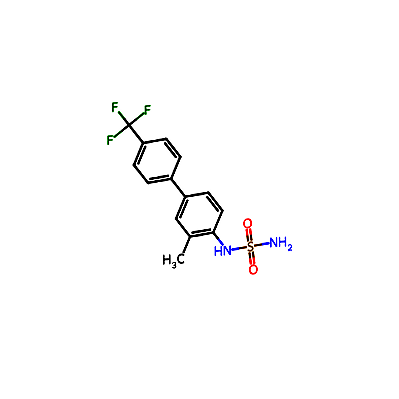 Cc1cc(-c2ccc(C(F)(F)F)cc2)ccc1NS(N)(=O)=O